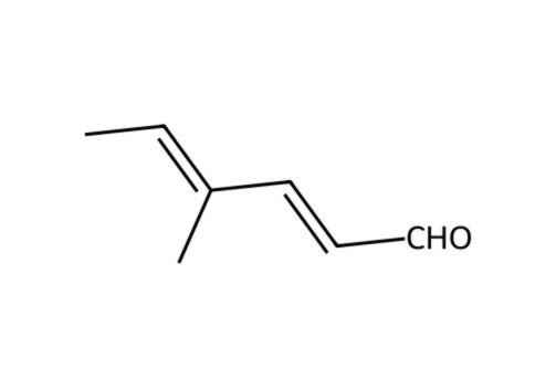 C/C=C(C)/C=C/C=O